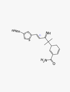 CCCCCCc1csc(/C=C/C(=N)C(C)(C)C2C=C(C(N)=O)C=CC2)c1